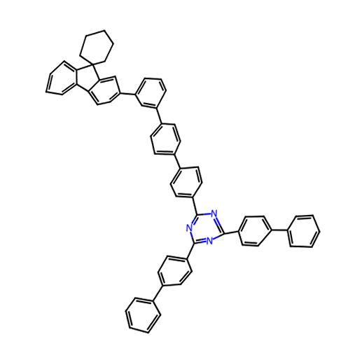 c1ccc(-c2ccc(-c3nc(-c4ccc(-c5ccccc5)cc4)nc(-c4ccc(-c5ccc(-c6cccc(-c7ccc8c(c7)C7(CCCCC7)c7ccccc7-8)c6)cc5)cc4)n3)cc2)cc1